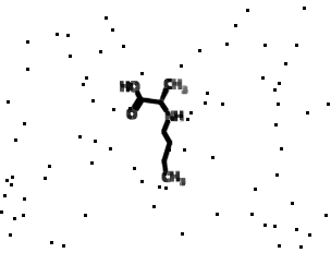 CCCCN[C@H](C)C(=O)O